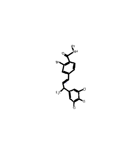 CC(C)NC(=O)c1ccc(/C=C/C(c2cc(Cl)c(Cl)c(Cl)c2)C(F)(F)F)cc1Br